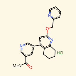 CNC(=O)c1cncc(-c2cc(OCc3ccccn3)nc3c2CCCC3)c1.Cl